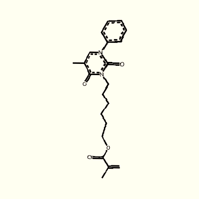 C=C(C)C(=O)OCCCCCCn1c(=O)c(C)cn(-c2ccccc2)c1=O